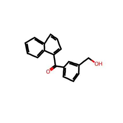 O=C(c1cccc(CO)c1)c1cccc2ccccc12